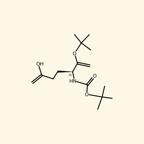 C=C(O)CC[C@H](NC(=O)OC(C)(C)C)C(=C)OC(C)(C)C